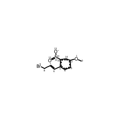 COc1ccc(C=CCBr)c([N+](=O)[O-])c1